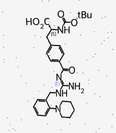 CC(C)(C)OC(=O)N[C@@H](Cc1ccc(C(=O)/N=C(\N)NCc2ccccc2N2CCCCC2)cc1)C(=O)O